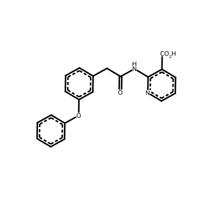 O=C(Cc1cccc(Oc2ccccc2)c1)Nc1ncccc1C(=O)O